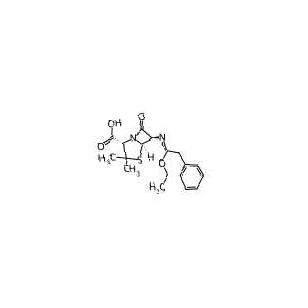 CCOC(Cc1ccccc1)=N[C@@H]1C(=O)N2[C@@H]1SC(C)(C)[C@@H]2C(=O)O